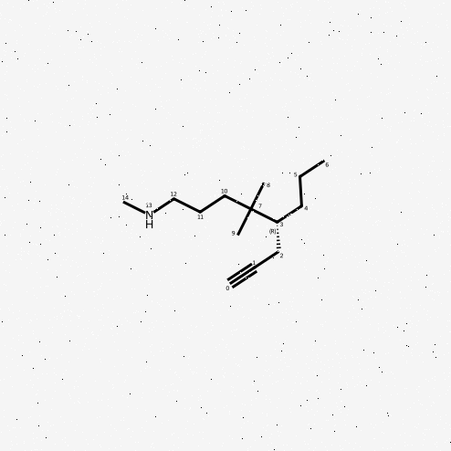 C#CC[C@@H](CCC)C(C)(C)CCCNC